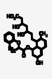 CCC(Oc1ccccc1Br)C(=O)OC1CC(O)C=C2C=CC(C)C(CCC(O)CC(O)CC(=O)O)C21